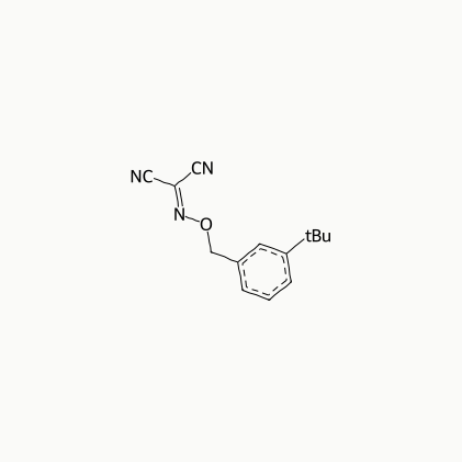 CC(C)(C)c1cccc(CON=C(C#N)C#N)c1